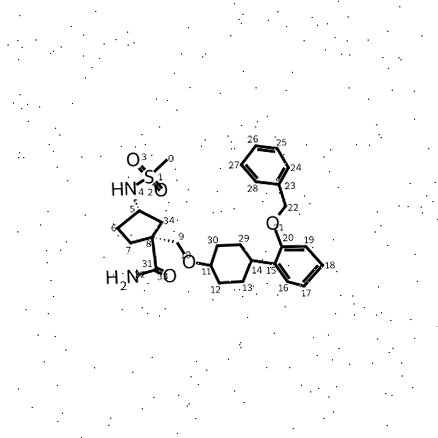 CS(=O)(=O)N[C@H]1CC[C@](COC2CCC(c3ccccc3OCc3ccccc3)CC2)(C(N)=O)C1